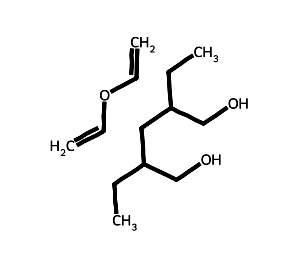 C=COC=C.CCC(CO)CC(CC)CO